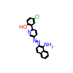 Nc1c(N=Nc2ccc(-c3cc(Cl)ccc3O)nc2)ccc2ccccc12